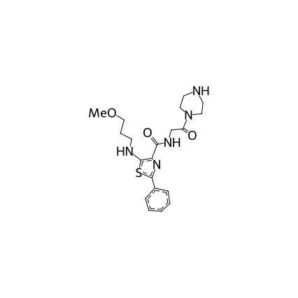 COCCCNc1sc(-c2ccccc2)nc1C(=O)NCC(=O)N1CCNCC1